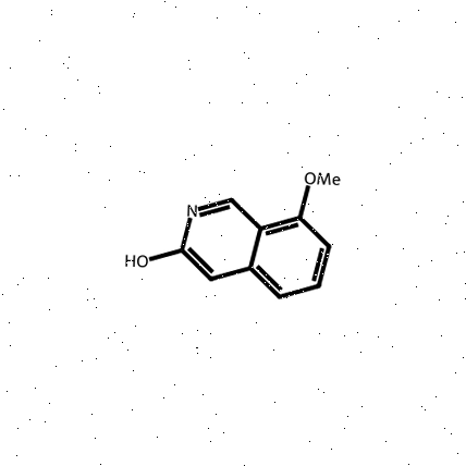 COc1cccc2cc(O)ncc12